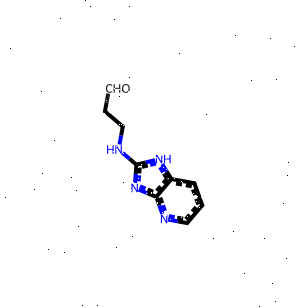 O=CCCNc1nc2ncccc2[nH]1